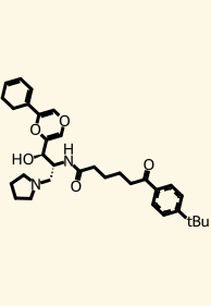 CC(C)(C)c1ccc(C(=O)CCCCC(=O)N[C@H](CN2CCCC2)[C@@H](O)C2=COC=C(C3=CC=CCC3)O2)cc1